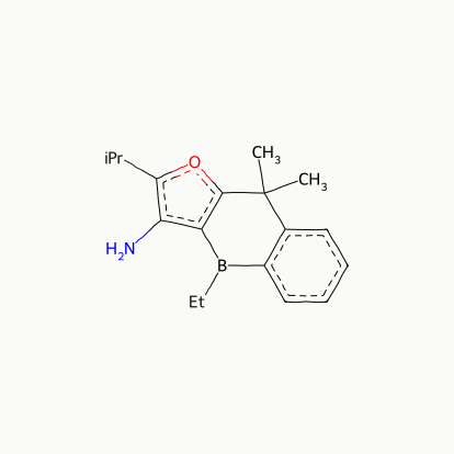 CCB1c2ccccc2C(C)(C)c2oc(C(C)C)c(N)c21